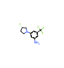 Nc1cc(N2CC[C@H](F)C2)cc(C(F)(F)F)c1